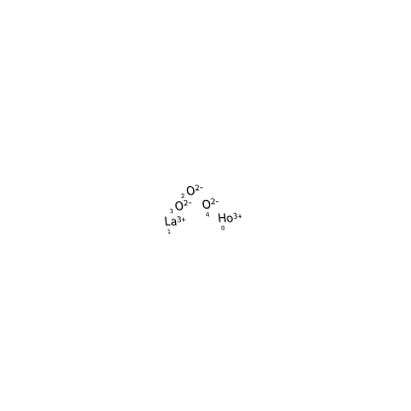 [Ho+3].[La+3].[O-2].[O-2].[O-2]